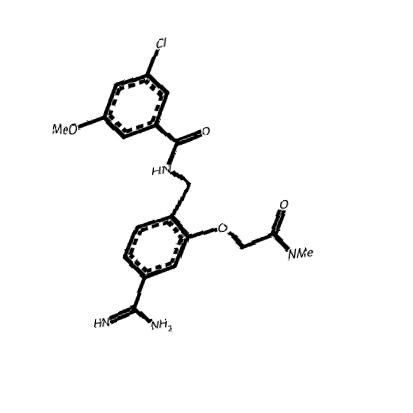 CNC(=O)COc1cc(C(=N)N)ccc1CNC(=O)c1cc(Cl)cc(OC)c1